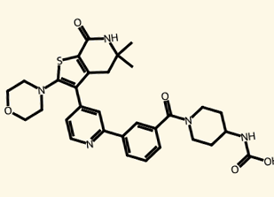 CC1(C)Cc2c(sc(N3CCOCC3)c2-c2ccnc(-c3cccc(C(=O)N4CCC(NC(=O)O)CC4)c3)c2)C(=O)N1